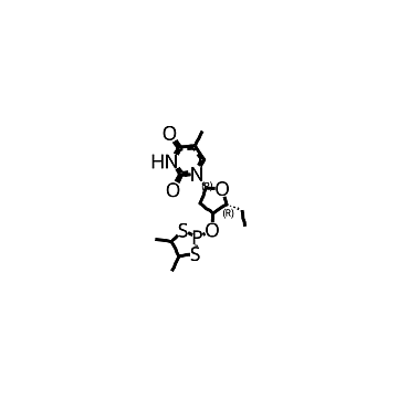 CC[C@H]1O[C@@H](n2cc(C)c(=O)[nH]c2=O)CC1OP1SC(C)C(C)S1